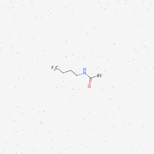 C[CH]C(=O)NCCCC(F)(F)F